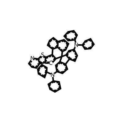 c1ccc(N(c2ccccc2)c2ccc3c(c2)C2(c4cc(N(c5ccccc5)c5ccccc5)ccc4-3)c3ccc4c(sc5ncccc54)c3-c3cccc4cccc2c34)cc1